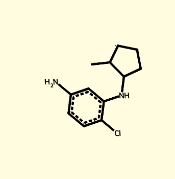 CC1[CH]CCC1Nc1cc(N)ccc1Cl